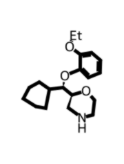 CCOc1ccccc1O[C@@H](C1CCCCC1)[C@@H]1CNCCO1